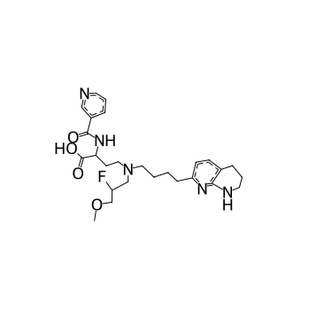 COCC(F)CN(CCCCc1ccc2c(n1)NCCC2)CCC(NC(=O)c1cccnc1)C(=O)O